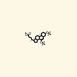 COC(=O)CC[C@@H](C)C1CCC2C3C(O[Si](C)(C)C)=CC4C[C@H](O[Si](C)(C)C)CC[C@]4(C)C3CC[C@@]21C